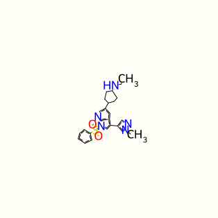 CCNC1CCC(c2cnc3c(c2)c(-c2cnn(C)c2)cn3S(=O)(=O)c2ccccc2)CC1